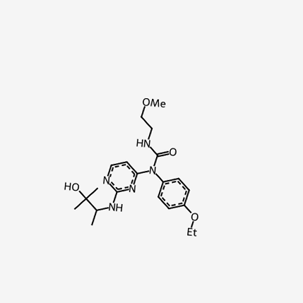 CCOc1ccc(N(C(=O)NCCOC)c2ccnc(NC(C)C(C)(C)O)n2)cc1